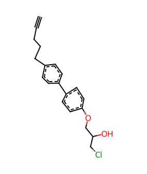 C#CCCCc1ccc(-c2ccc(OCC(O)CCl)cc2)cc1